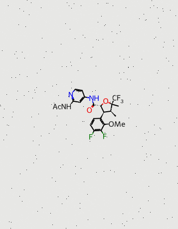 COc1c([C@H]2[C@H](C(=O)Nc3ccnc(NC(C)=O)c3)O[C@@](C)(C(F)(F)F)[C@H]2C)ccc(F)c1F